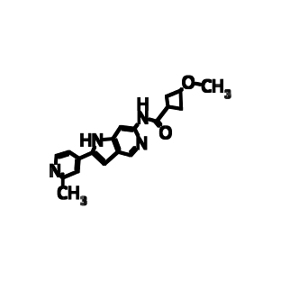 COC1CC(C(=O)Nc2cc3[nH]c(-c4ccnc(C)c4)cc3cn2)C1